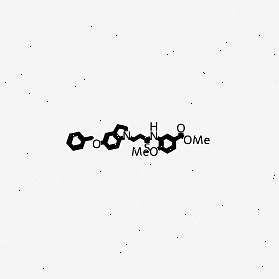 COC(=O)c1ccc(OC)c(NC(=S)CCN2CCc3cc(OCc4ccccc4)ccc32)c1